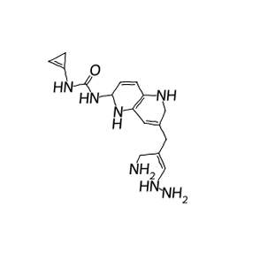 NC/C(=C\NN)CC1=CC2=C(C=CC(NC(=O)NC3=CC3)N2)NC1